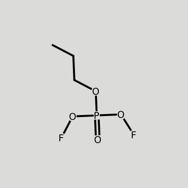 CCCOP(=O)(OF)OF